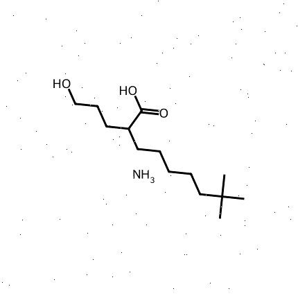 CC(C)(C)CCCCCC(CCCO)C(=O)O.N